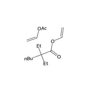 C=COC(=O)C(CC)(CC)CCCC.C=COC(C)=O